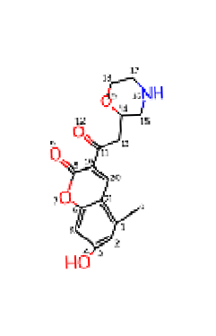 Cc1cc(O)cc2oc(=O)c(C(=O)CC3CNCCO3)cc12